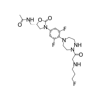 CC(=O)NC[C@H]1CN(c2cc(F)c(N3CCNN(C(=O)CNCCCF)CC3)c(F)c2)C(=O)O1